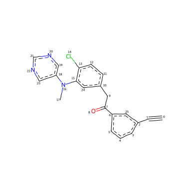 C#Cc1cccc(C(=O)Cc2ccc(Cl)c(N(C)c3cncnc3)c2)c1